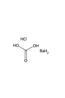 Cl.O=C(O)O.[BaH2]